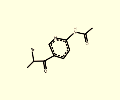 CC(=O)Nc1ccc(C(=O)C(C)Br)cn1